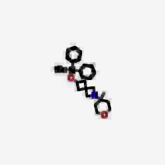 CC1(N2CC3(CC(O[Si](c4ccccc4)(c4ccccc4)C(C)(C)C)C3)C2)CCOCC1